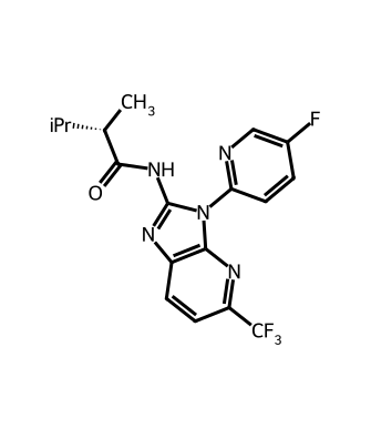 CC(C)[C@H](C)C(=O)Nc1nc2ccc(C(F)(F)F)nc2n1-c1ccc(F)cn1